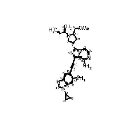 C=CC(=C)N1C[C@@H](c2nc(C#Cc3cc4ncn(C5CC5)c4cc3P)c3c(N)nccn23)CC1COC